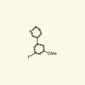 COc1cc(F)cc(-c2cccnc2)c1